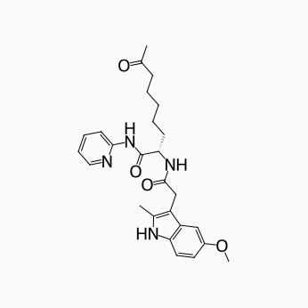 COc1ccc2[nH]c(C)c(CC(=O)N[C@@H](CCCCCC(C)=O)C(=O)Nc3ccccn3)c2c1